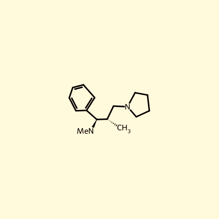 CN[C@@H](c1ccccc1)[C@@H](C)CN1CCCC1